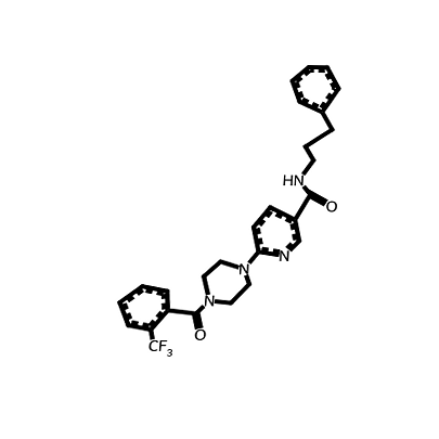 O=C(NCCCc1ccccc1)c1ccc(N2CCN(C(=O)c3ccccc3C(F)(F)F)CC2)nc1